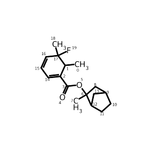 CC1C(C(=O)OC2(C)CC3CCC2C3)=CC=CC1(C)F